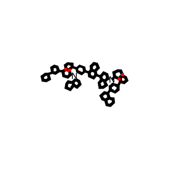 C1=C(c2ccc(-c3ccc(N(c4ccccc4)c4cc(-c5cccc6ccccc56)ccc4-c4ccccc4)c4ccccc34)c3ccccc23)C=C(N(c2ccc(-c3cccc(-c4ccccc4)c3)cc2)c2cccc3ccccc23)C(c2ccccc2)C1